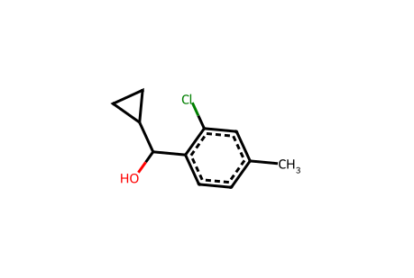 Cc1ccc(C(O)C2CC2)c(Cl)c1